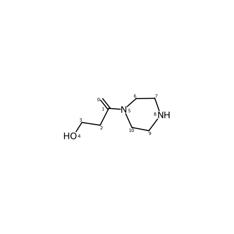 C=C(CCO)N1CCNCC1